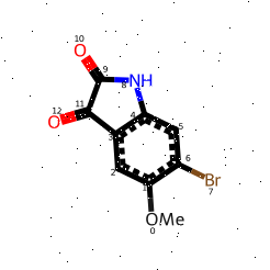 COc1cc2c(cc1Br)NC(=O)C2=O